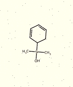 C[Si](C)(O)C1C=CC=CC1